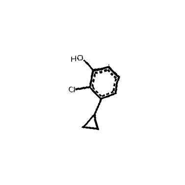 Oc1[c]ccc(C2CC2)c1Cl